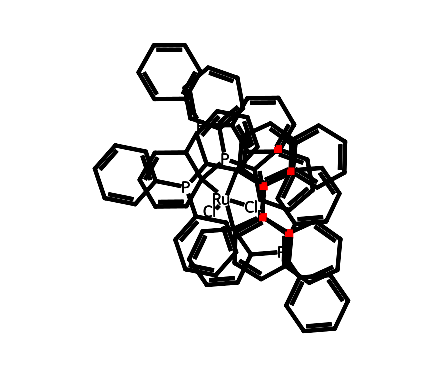 [Cl][Ru]([Cl])([C]1(P(c2ccccc2)c2ccccc2)C=CC=CC1P(c1ccccc1)c1ccccc1)([C]1(P(c2ccccc2)c2ccccc2)C=CC=CC1P(c1ccccc1)c1ccccc1)[C]1(P(c2ccccc2)c2ccccc2)C=CC=CC1P(c1ccccc1)c1ccccc1